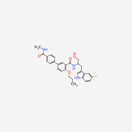 CCCOc1ccc(-c2ccc(C(=O)NC)cc2)cc1C(=O)NC(CO)Cc1c[nH]c2ccc(F)cc12